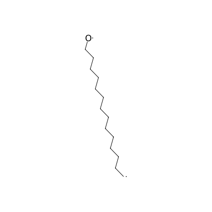 [CH2]CCCCCCCCCCCCC[O]